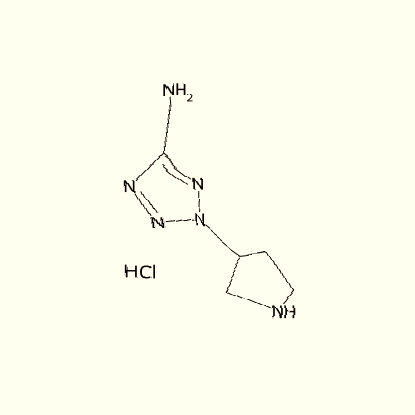 Cl.Nc1nnn(C2CCNC2)n1